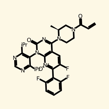 C=CC(=O)N1CCN(c2nc(=O)n(-c3c(C(C)C)ncnc3C(C)C)c3c2cc(F)c(-c2c(F)cccc2F)[n+]3[O-])[C@@H](C)C1